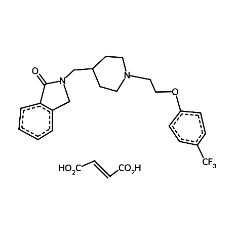 O=C(O)C=CC(=O)O.O=C1c2ccccc2CN1CC1CCN(CCOc2ccc(C(F)(F)F)cc2)CC1